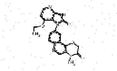 CCOc1ccnc2[nH]c(=O)n(-c3ccc4ncc5c(c4c3)OCC(=O)N5C)c12